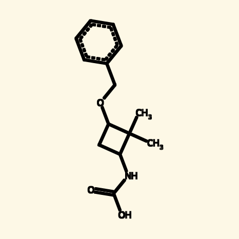 CC1(C)C(NC(=O)O)CC1OCc1ccccc1